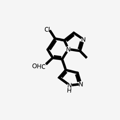 Cc1ncc2c(Cl)cc(C=O)c(-c3cn[nH]c3)n12